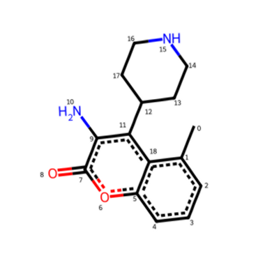 Cc1cccc2oc(=O)c(N)c(C3CCNCC3)c12